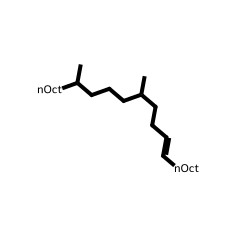 [CH2]CCCCCCC/C=C/CCC(C)CCCC(C)CCCCCCC[CH2]